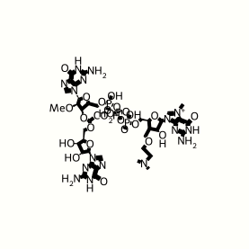 CO[C@@H]1[C@H](OC(OC[C@H]2O[C@@H](n3cnc4c(=O)[nH]c(N)nc43)[C@H](O)[C@@H]2O)C(=O)O)C(COP(=O)(O)OP(=O)(O)OP(=O)(O)OC[C@H]2OC(n3c[n+](C)c4c(=O)[nH]c(N)nc43)[C@H](O)C2COCCN(C)C)O[C@H]1n1cnc2c(=O)[nH]c(N)nc21